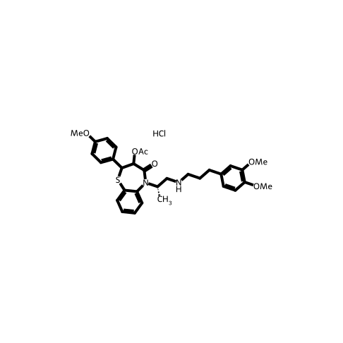 COc1ccc(C2Sc3ccccc3N([C@@H](C)CNCCCc3ccc(OC)c(OC)c3)C(=O)C2OC(C)=O)cc1.Cl